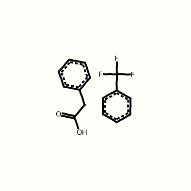 FC(F)(F)c1ccccc1.O=C(O)Cc1ccccc1